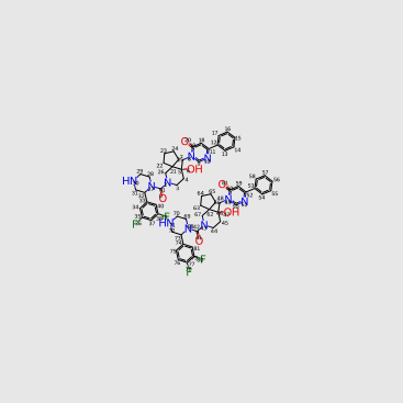 O=C(N1CC[C@@](O)(Cn2cnc(-c3ccccc3)cc2=O)C2(CCCC2)C1)N1CCNCC1c1cc(F)cc(F)c1.O=C(N1CC[C@@](O)(Cn2cnc(-c3ccccc3)cc2=O)C2(CCCC2)C1)N1CCNCC1c1ccc(F)c(F)c1